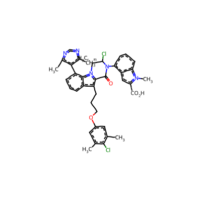 Cc1cc(OCCCc2c3n(c4c(-c5c(C)ncnc5C)cccc24)[C@H](C)C(Cl)N(c2cccc4c2cc(C(=O)O)n4C)C3=O)cc(C)c1Cl